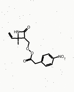 C=CC1(C)NC(=O)C1COOC(=O)Cc1ccc([N+](=O)[O-])cc1